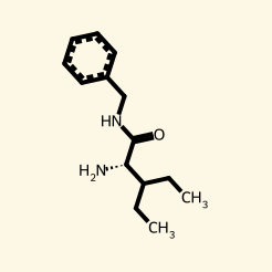 CCC(CC)[C@H](N)C(=O)NCc1ccccc1